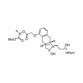 CCCCC[C@@H](O)CC[C@@H]1[C@H]2Cc3cccc(OCC(=O)O[C@H](C)C(=O)OC)c3C[C@H]2C[C@H]1O